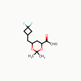 CC1(C)OC(CC2CC(F)(F)C2)CC(C(=O)C=O)O1